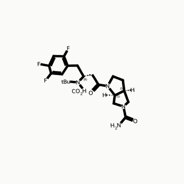 CC(C)(C)N(C(=O)O)[C@@H](CC(=O)N1CC[C@H]2CN(C(N)=O)C[C@H]21)Cc1cc(F)c(F)cc1F